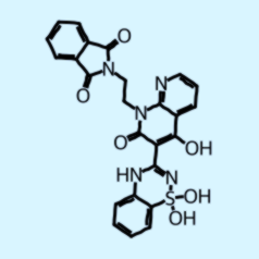 O=C1c2ccccc2C(=O)N1CCn1c(=O)c(C2=NS(O)(O)c3ccccc3N2)c(O)c2cccnc21